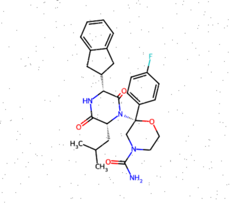 CC(C)C[C@@H]1C(=O)N[C@H](C2Cc3ccccc3C2)C(=O)N1[C@@]1(c2ccc(F)cc2)CN(C(N)=O)CCO1